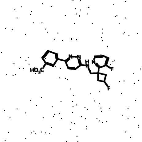 O=C(O)c1cccc(-c2ccc(NCC3(c4ncccc4F)CC(F)C3)nn2)c1